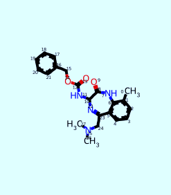 Cc1cccc2c1NC(=O)C(NC(=O)OCc1ccccc1)N=C2CN(C)C